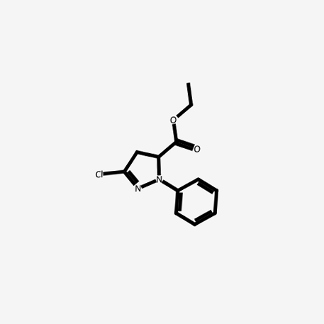 CCOC(=O)C1CC(Cl)=NN1c1ccccc1